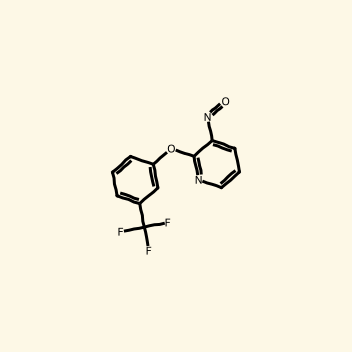 O=Nc1cccnc1Oc1cccc(C(F)(F)F)c1